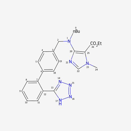 CCCCN(Cc1ccc(-c2ccccc2-c2nnn[nH]2)cc1)c1ncn(C)c1C(=O)OCC